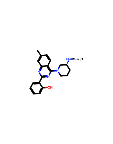 Cc1ccc2c(N3CCC[C@H](NC(=O)O)C3)nc(-c3ccccc3O)nc2c1